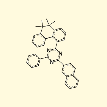 CC1(C)c2ccccc2-c2c(-c3nc(-c4ccccc4)nc(-c4ccc5ccccc5c4)n3)cccc2C1(C)C